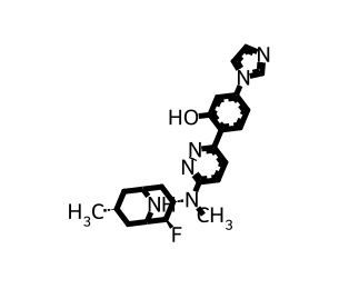 C[C@@H]1CC2C[C@H](N(C)c3ccc(-c4ccc(-n5ccnc5)cc4O)nn3)[C@@H](F)C(C1)N2